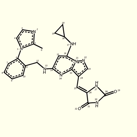 Cc1nccn1-c1ccccc1CNc1cc(NC2CC2)n2ncc(/C=C3\NC(=O)NC3=O)c2n1